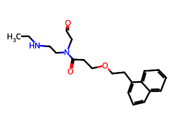 CCNCCN(CC=O)C(=O)CCOCCc1cccc2ccccc12